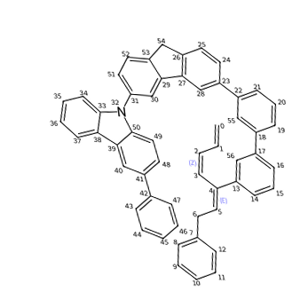 C=C/C=C\C(=C/Cc1ccccc1)c1cccc(-c2cccc(-c3ccc4c(c3)-c3cc(-n5c6ccccc6c6cc(-c7ccccc7)ccc65)ccc3C4)c2)c1